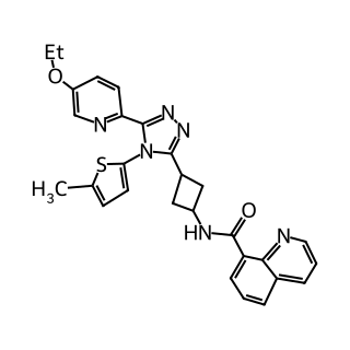 CCOc1ccc(-c2nnc(C3CC(NC(=O)c4cccc5cccnc45)C3)n2-c2ccc(C)s2)nc1